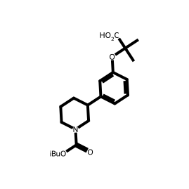 CC(C)COC(=O)N1CCCC(c2cccc(OC(C)(C)C(=O)O)c2)C1